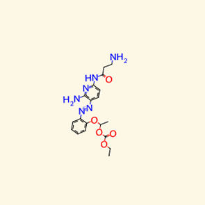 CCOC(=O)OC(C)Oc1ccccc1/N=N/c1ccc(NC(=O)CCN)nc1N